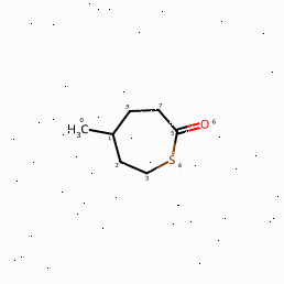 CC1CCSC(=O)CC1